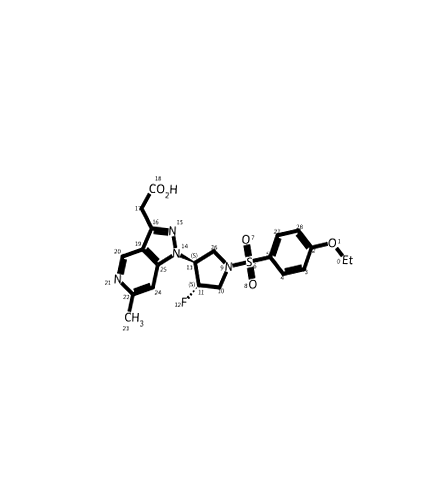 CCOc1ccc(S(=O)(=O)N2C[C@H](F)[C@@H](n3nc(CC(=O)O)c4cnc(C)cc43)C2)cc1